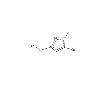 CC(=O)Cn1cc(Br)c(C)n1